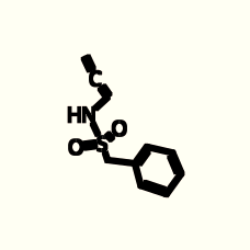 C=C=CNS(=O)(=O)Cc1ccccc1